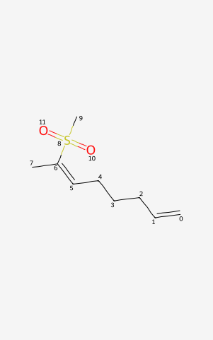 C=CCCCC=C(C)S(C)(=O)=O